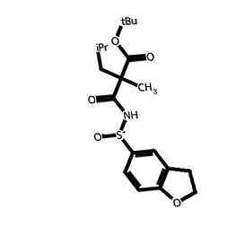 CC(C)CC(C)(C(=O)N[S+]([O-])c1ccc2c(c1)CCO2)C(=O)OC(C)(C)C